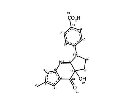 Cc1cc2c(s1)N=C1N(c3ccc(C(=O)O)cc3)CCC1(O)C2=O